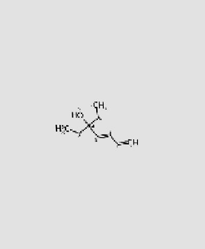 [CH]=CC=CC(O)(CC)CC